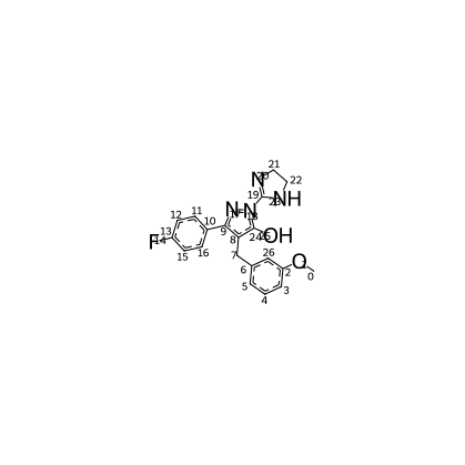 COc1cccc(Cc2c(-c3ccc(F)cc3)nn(C3=NCCN3)c2O)c1